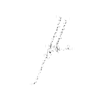 C#CCOCCOCCOCCOCCOCCC(=O)NCCN(CCNC(=O)CCOCCOCCOCCOCCOCC#C)C(=O)CC[C@H](NC(=O)CCOCCOCCOCCOCCOCC#C)C(=O)NCCCCCC(=O)O